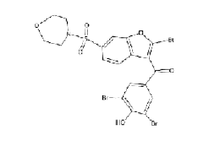 CCc1oc2cc(S(=O)(=O)N3CCOCC3)ccc2c1C(=O)c1cc(Br)c(O)c(Br)c1